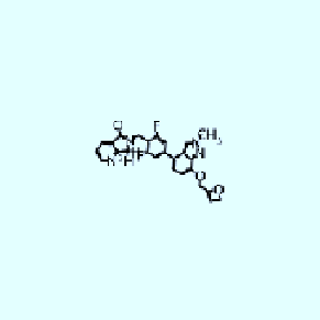 [2H]C1([2H])c2ncccc2C(=O)N1Cc1c(F)cc(-c2ccc(OCC3CCO3)c3nn(C)cc23)cc1F